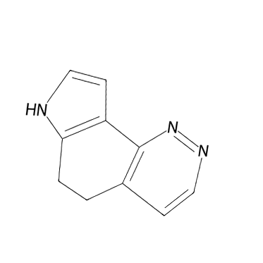 c1cc2c(nn1)-c1cc[nH]c1CC2